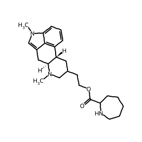 CN1CC(CCOC(=O)C2CCCCCN2)C[C@H]2c3cccc4c3c(cn4C)C[C@@H]21